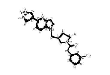 C[C@H]1CC(Cn2ccc3nc(-c4cn[nH]c4)ccc32)CN1C(=O)Cc1cccc(F)c1